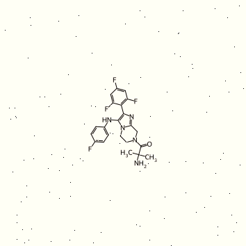 CC(C)(N)C(=O)N1CCn2c(nc(-c3c(F)cc(F)cc3F)c2Nc2ccc(F)cc2)C1